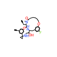 C#CCC1C(=O)NC([C@H](O)CNC2(c3cccc(C#C)c3)CC2)Cc2cc(F)cc(c2)OCCCCCC(=O)N1C